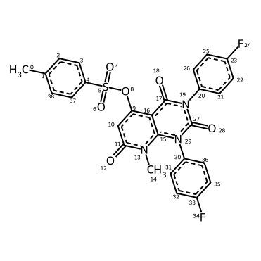 Cc1ccc(S(=O)(=O)Oc2cc(=O)n(C)c3c2c(=O)n(-c2ccc(F)cc2)c(=O)n3-c2ccc(F)cc2)cc1